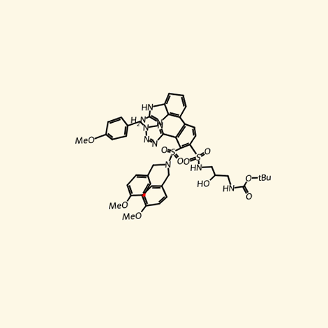 COc1ccc(CN(Cc2ccc(OC)cc2)S(=O)(=O)c2c(S(=O)(=O)NCC(O)CNC(=O)OC(C)(C)C)ccc(-c3cccc4[nH]c(N)nc34)c2-c2nnn(Cc3ccc(OC)cc3)n2)cc1